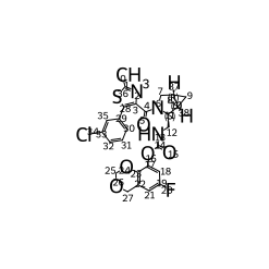 Cc1nc(C(=O)N2C[C@@H]3C[C@@H]3[C@H]2CNC(=O)Oc2cc(F)cc3c2OCOC3)c(-c2cccc(Cl)c2)s1